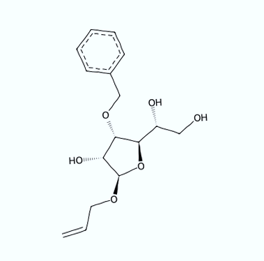 C=CCO[C@@H]1O[C@H]([C@H](O)CO)[C@@H](OCc2ccccc2)[C@H]1O